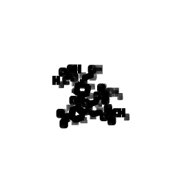 CS(=O)(=O)O.CS(=O)(=O)OCCN(CCOS(C)(=O)=O)c1ccc([N+](=O)[O-])cc1S(=O)(=O)N1CCN(CCO)CC1